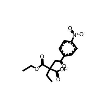 CCOC(=O)C(CC)(CC(=O)c1ccc([N+](=O)[O-])cc1)C(=O)O